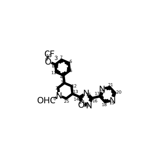 O=CN1CC(c2cccc(OC(F)(F)F)c2)CC(c2nc(-c3cnccn3)no2)C1